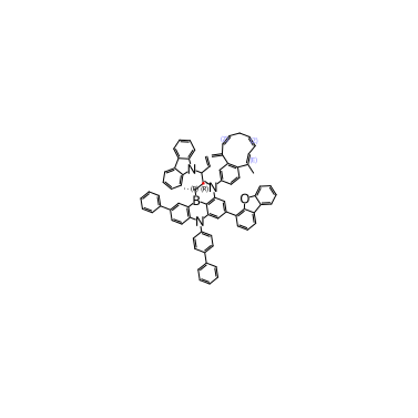 C=CC([C@H](C)[C@@H](C)B1c2cc(-c3ccccc3)ccc2N(c2ccc(-c3ccccc3)cc2)c2cc(-c3cccc4c3oc3ccccc34)cc(N(C)c3ccc4c(c3)C(=C)/C=C\C/C=C\C=C\4C)c21)n1c2ccccc2c2ccccc21